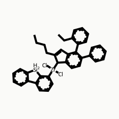 CCCCC1=Cc2c(ccc(-c3ccccc3)c2-c2ccccc2CC)[CH]1[Zr]([Cl])([Cl])[c]1cccc2c1[SiH2]c1ccccc1-2